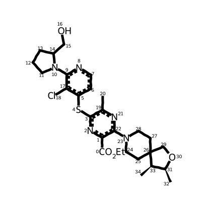 CCOC(=O)c1nc(Sc2ccnc(N3CCCC3CO)c2Cl)c(C)nc1N1CCC2(CC1)CO[C@@H](C)[C@H]2C